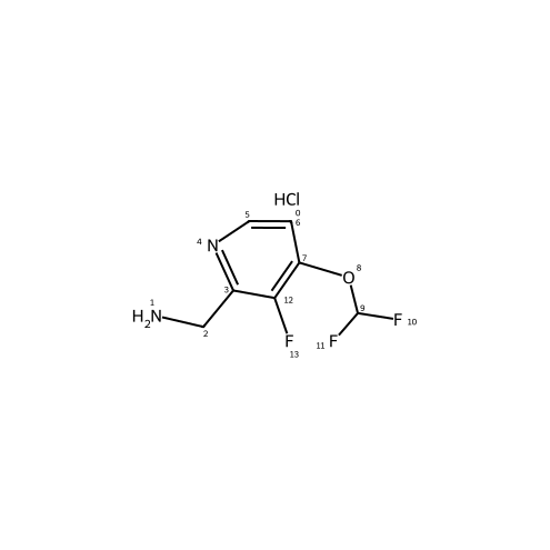 Cl.NCc1nccc(OC(F)F)c1F